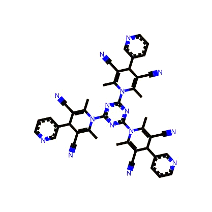 CC1=C(C#N)C(c2cccnc2)C(C#N)=C(C)N1c1nc(N2C(C)=C(C#N)C(c3cccnc3)C(C#N)=C2C)nc(N2C(C)=C(C#N)C(c3cccnc3)C(C#N)=C2C)n1